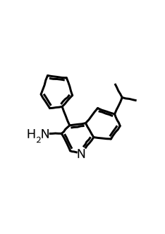 CC(C)c1ccc2ncc(N)c(-c3ccccc3)c2c1